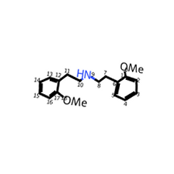 COc1ccccc1CCNCCc1ccccc1OC